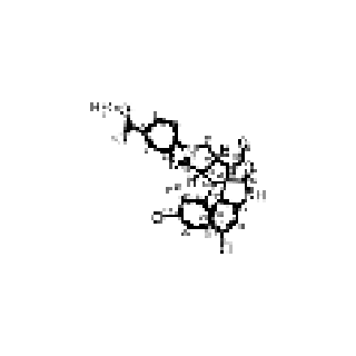 COC(=O)c1ccc2c(c1)nc1n2C[C@H]2[C@@H]1[C@H](c1cccc(Cl)c1F)[C@]1(C(=O)Nc3cc(Cl)ccc31)N2C=O